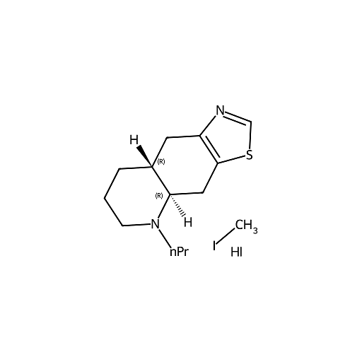 CCCN1CCC[C@@H]2Cc3ncsc3C[C@H]21.CI.I